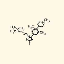 Cc1cc(-c2cc(I)nn2COCC[Si](C)(C)C)cc(C)c1N1CCN(C)CC1